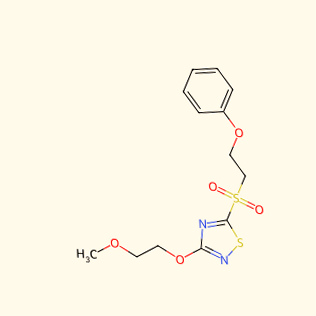 COCCOc1nsc(S(=O)(=O)CCOc2ccccc2)n1